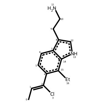 CC=C(Cl)c1ccc2c(CCN)c[nH]c2c1CC